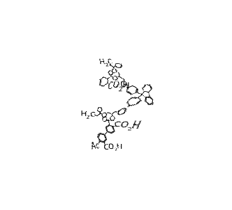 C=CC(=O)OCC(COC1C=CC(C2(C3=CCC(OCC(COC(=O)C=C)OC(=O)C4CC=CCC4C(=O)O)C=C3)c3ccccc3C3C=CC=CC32)=CC1)OC(=O)c1cc(-c2ccc(C(C)=O)c(C(=O)O)c2)ccc1C(=O)O